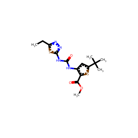 CCc1nnc(NC(=O)Nc2cc(C(C)(C)C)sc2C(=O)OC)s1